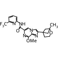 COc1nc(C(=O)Nc2cccc(C(F)(F)F)n2)cn2cc(C34CCOC(C)(C3)C4)nc12